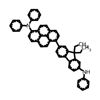 CCC1(CC)c2cc(Nc3ccccc3)ccc2-c2ccc(-c3ccc4ccc5c(N(c6ccccc6)c6ccccc6)ccc6ccc3c4c65)cc21